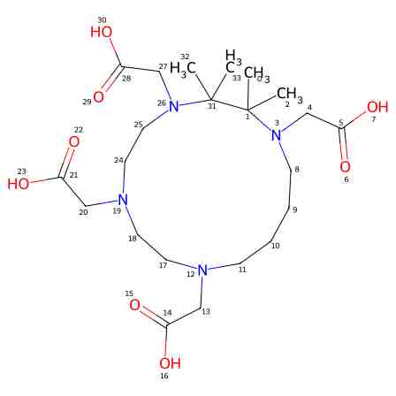 CC1(C)N(CC(=O)O)CCCCN(CC(=O)O)CCN(CC(=O)O)CCN(CC(=O)O)C1(C)C